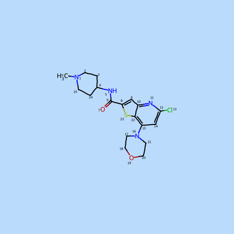 CN1CCC(NC(=O)c2cc3nc(Cl)cc(N4CCOCC4)c3s2)CC1